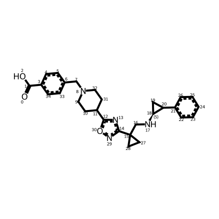 O=C(O)c1ccc(CN2CCC(c3nc(C4(CN[C@H]5CC5c5ccccc5)CC4)no3)CC2)cc1